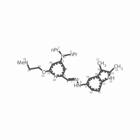 CCCN(CCC)c1cc(/C=N/Nc2ccc3[nH]c(C)c(C)c3c2)nc(OCCNC)c1